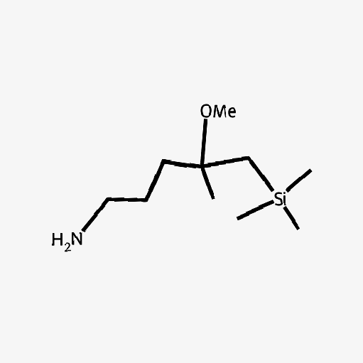 COC(C)(CCCN)C[Si](C)(C)C